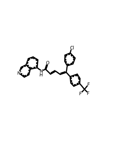 O=C(/C=C/C=C(\c1ccc(Cl)cc1)c1ccc(C(F)(F)F)cc1)Nc1cccc2cnccc12